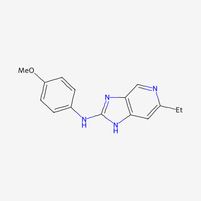 CCc1cc2[nH]c(Nc3ccc(OC)cc3)nc2cn1